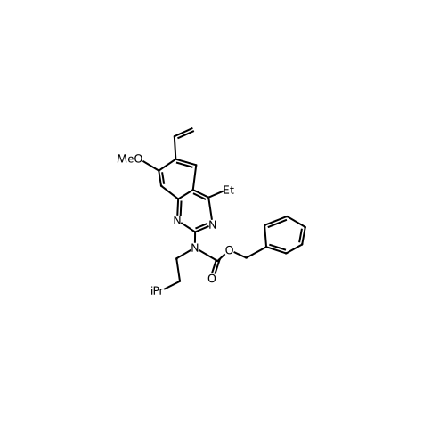 C=Cc1cc2c(CC)nc(N(CCC(C)C)C(=O)OCc3ccccc3)nc2cc1OC